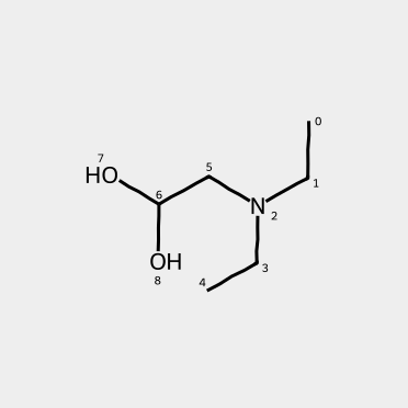 CCN(CC)CC(O)O